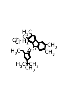 CCC1C=C(C(C)(C)C)C=[C]1[Zr+2][CH]1c2cc(C)c(C)cc2-c2cc(C)c(C)cc21.[Cl-].[Cl-]